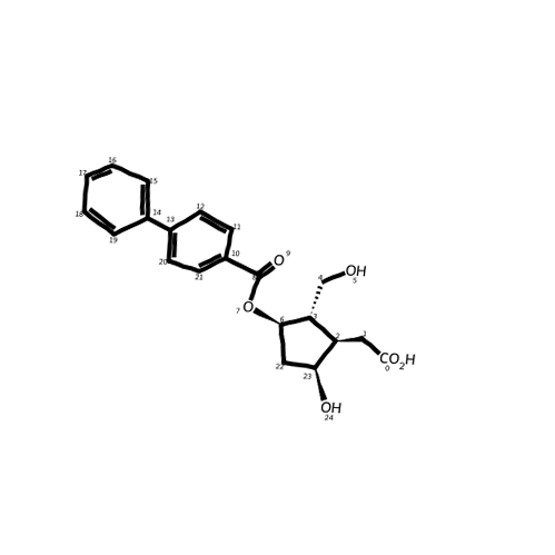 O=C(O)C[C@@H]1[C@@H](CO)[C@H](OC(=O)c2ccc(-c3ccccc3)cc2)C[C@@H]1O